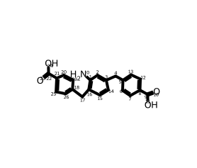 Nc1cc(Cc2ccc(C(=O)O)cc2)ccc1Cc1ccc(C(=O)O)cc1